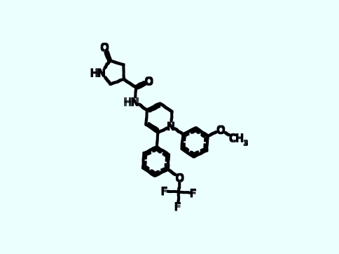 COc1cccc(N2CC=C(NC(=O)C3CNC(=O)C3)C=C2c2cccc(OC(F)(F)F)c2)c1